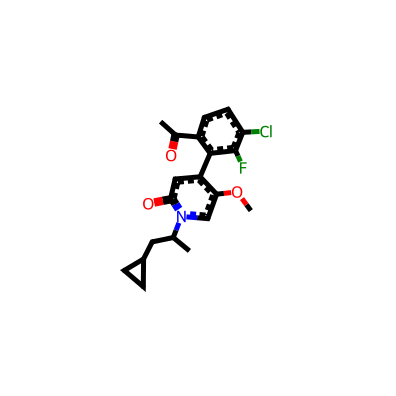 COc1cn(C(C)CC2CC2)c(=O)cc1-c1c(C(C)=O)ccc(Cl)c1F